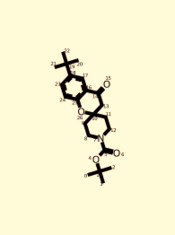 CC(C)(C)OC(=O)N1CCC2(CC1)CC(=O)c1cc(C(C)(C)C)ccc1O2